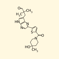 CC(C)(C=O)Cc1c[nH]c2ncc(-c3ccc(C(=O)N4CCC(C)(O)CC4)s3)nc12